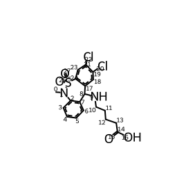 CN1c2ccccc2C(NCCCCC(=O)O)c2cc(Cl)c(Cl)cc2S1(=O)=O